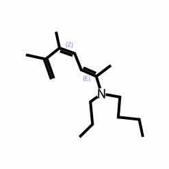 C=C(C)/C(C)=C\C=C(/C)N(CCC)CCCC